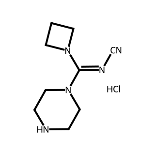 Cl.N#CN=C(N1CCC1)N1CCNCC1